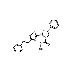 CC(C)(C)OC(=O)N1C[C@H](c2ccccc2)C[C@H]1c1nc(CCc2ccccc2)no1